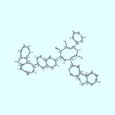 C/C1=C(c2ccc3sc4ccccc4c3c2)/N=C(/c2ccc3cc(-c4cccc5oc6ccccc6c45)ccc3c2)C(C)/C(C)=C(/c2ccccc2)C1